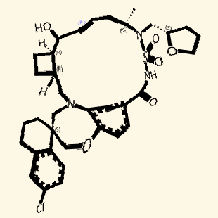 C[C@H]1C/C=C/C(O)[C@@H]2CC[C@H]2CN2C[C@@]3(CCCc4cc(Cl)ccc43)COc3ccc(cc32)C(=O)NS(=O)(=O)N1C[C@@H]1CCCO1